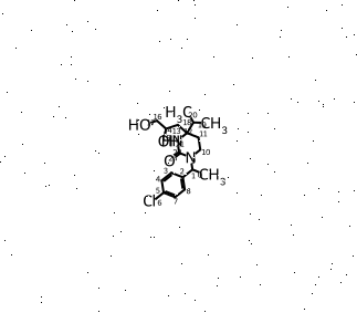 CC(c1ccc(Cl)cc1)N1CCC(CC(O)CO)(C(C)C)NC1=O